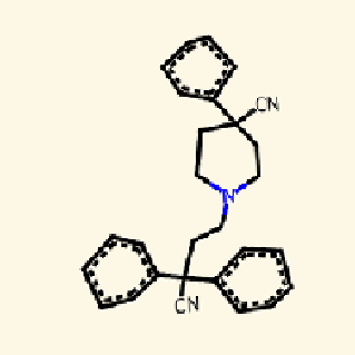 N#CC1(c2ccccc2)CCN(CCC(C#N)(c2ccccc2)c2ccccc2)CC1